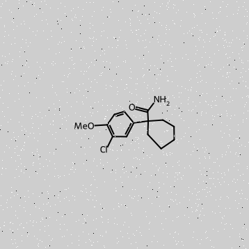 COc1ccc(C2(C(N)=O)CCCCC2)cc1Cl